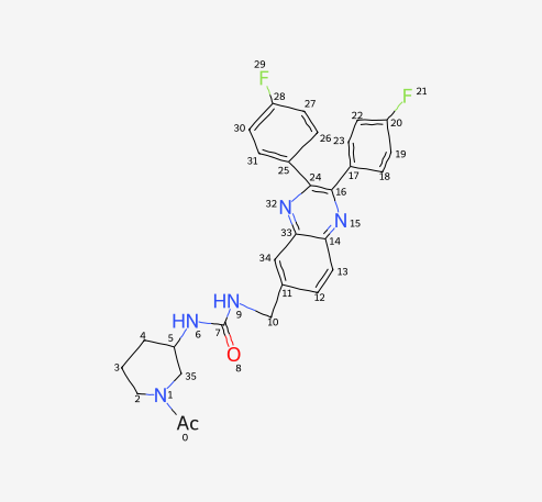 CC(=O)N1CCCC(NC(=O)NCc2ccc3nc(-c4ccc(F)cc4)c(-c4ccc(F)cc4)nc3c2)C1